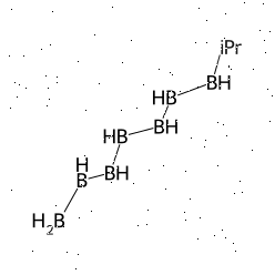 BBBBBBBC(C)C